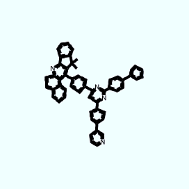 CC1(C)c2ccccc2-c2nc3ccc4ccccc4c3c(-c3ccc(-c4cc(-c5ccc(-c6cccnc6)cc5)nc(-c5ccc(-c6ccccc6)cc5)n4)cc3)c21